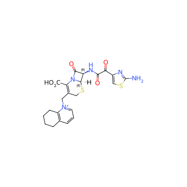 Nc1nc(C(=O)C(=O)N[C@@H]2C(=O)N3C(C(=O)O)=C(C[n+]4cccc5c4CCCC5)CS[C@H]23)cs1